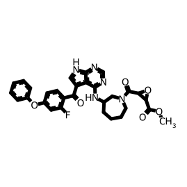 COC(=O)C1OC1C(=O)N1CCCCC(Nc2ncnc3[nH]cc(C(=O)c4ccc(Oc5ccccc5)cc4F)c23)C1